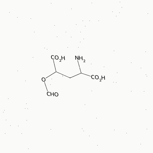 NC(CC(OC=O)C(=O)O)C(=O)O